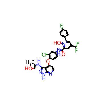 C[C@H](CO)Nc1n[nH]c2nccc(Oc3ccc(NC(=O)c4cc(C(F)F)cc(-c5ccc(F)cc5)[n+]4O)cc3Cl)c12